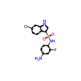 Nc1ccc(NS(=O)(=O)c2c[nH]c3cc(Cl)ccc23)c(F)c1